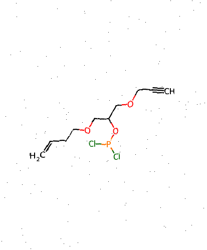 C#CCOCC(COCCC=C)OP(Cl)Cl